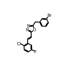 Fc1ccc(Cl)c(/C=C/c2nnc(Cc3cccc(Br)c3)o2)c1